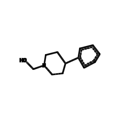 OCN1CCC(c2ccccc2)CC1